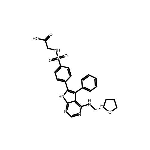 O=C(O)CNS(=O)(=O)c1ccc(-c2[nH]c3ncnc(NC[C@@H]4CCCO4)c3c2-c2ccccc2)cc1